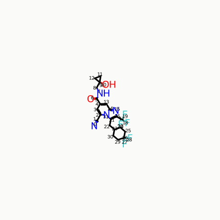 N#Cc1cc(C(=O)NCC2(O)CC2)cc2nc(C(F)(F)F)c(CC3CCC(F)(F)CC3)n12